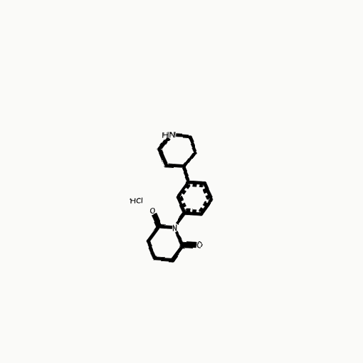 Cl.O=C1CCCC(=O)N1c1cccc(C2CCNCC2)c1